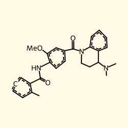 COc1cc(C(=O)N2CCC(N(C)C)c3ccccc32)ccc1NC(=O)c1ccccc1C